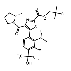 C[C@H]1CCCN1C(=O)c1nc(C(=O)NCC(C)(C)O)sc1-c1ccc(C(O)(C(F)(F)F)C(F)(F)F)c(F)c1C(F)F